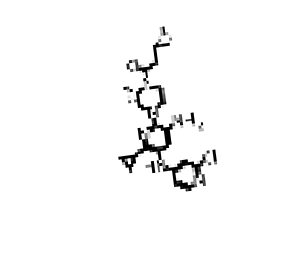 COCCC(=O)N1CCN(c2nc(C3CC3)c(Nc3ccnc(Cl)c3)cc2N)C[C@H]1C